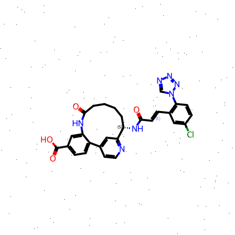 O=C(/C=C/c1cc(Cl)ccc1-n1cnnn1)N[C@H]1CCCCC(=O)Nc2cc(C(=O)O)ccc2-c2ccnc1c2